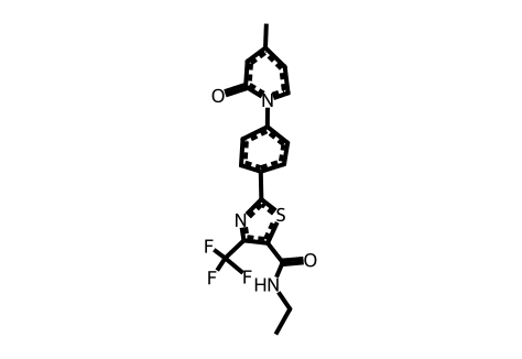 CCNC(=O)c1sc(-c2ccc(-n3ccc(C)cc3=O)cc2)nc1C(F)(F)F